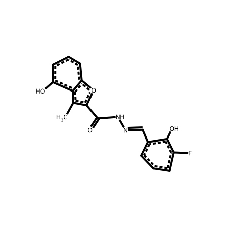 Cc1c(C(=O)NN=Cc2cccc(F)c2O)oc2cccc(O)c12